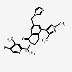 Cc1cc([C@H](C)N2CCc3c(cc(Cn4ccnc4)cc3-c3cn(C)nc3C(F)(F)F)C2=O)ncc1F